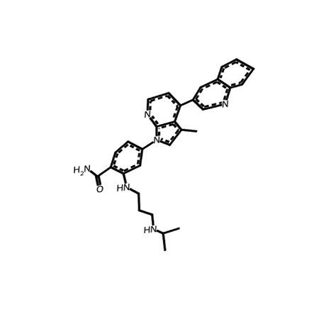 Cc1cn(-c2ccc(C(N)=O)c(NCCCNC(C)C)c2)c2nccc(-c3cnc4ccccc4c3)c12